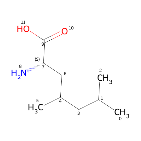 CC(C)CC(C)C[C@H](N)C(=O)O